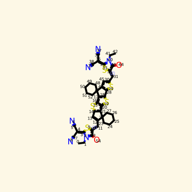 CCn1c(=C(C#N)C#N)s/c(=C\C2=Cc3sc4c5c(sc4c3C23CCCCC3)-c2sc(/C=c3\sc(=C(C#N)C#N)n(CC)c3=O)cc2C52CCCCC2)c1=O